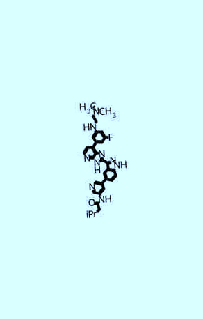 CC(C)CC(=O)Nc1cncc(-c2ccc3[nH]nc(-c4nc5c(-c6cc(F)cc(NCCN(C)C)c6)ccnc5[nH]4)c3c2)c1